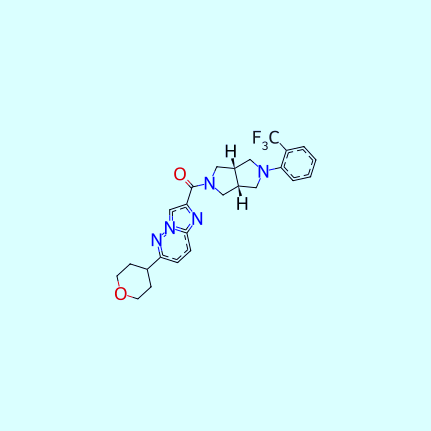 O=C(c1cn2nc(C3CCOCC3)ccc2n1)N1C[C@@H]2CN(c3ccccc3C(F)(F)F)C[C@@H]2C1